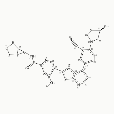 COc1cc(C(=O)NC2C3COCC32)ncc1-c1cc2nccc(-c3ccc(N4CC[C@@H](F)C4)c(C#N)c3)c2o1